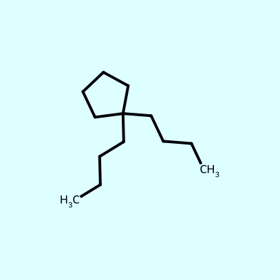 CCCCC1(CCCC)CCCC1